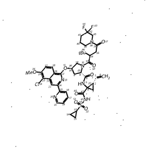 C=C[C@@H]1CC1(NC(=O)[C@@H]1C[C@@H](Oc2nc(-c3ccccn3)cc3c(Cl)c(OC)ccc23)CN1C(=O)C(CC(=O)N1CCCC(F)(F)C1)C(C)(C)C)C(=O)NS(=O)(=O)C1CC1